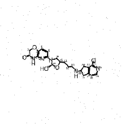 O=C1COc2ccc(N3CC(CCCNC4Cc5ccnc(Cl)c5C4)OC3O)nc2N1